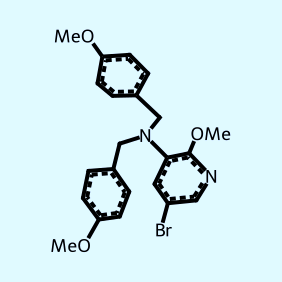 COc1ccc(CN(Cc2ccc(OC)cc2)c2cc(Br)cnc2OC)cc1